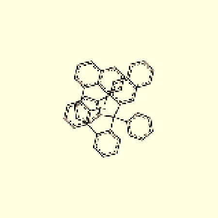 c1ccc(C2(c3ccccc3-c3cccc4c3Oc3cccc5cccc-4c35)c3ccccc3-c3cc4ccccc4cc32)cc1